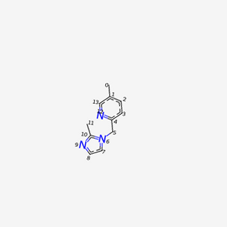 Cc1ccc(Cn2ccnc2C)nc1